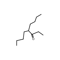 CCCCC(CCCC)C(=O)CC